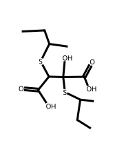 CCC(C)SC(C(=O)O)C(O)(SC(C)CC)C(=O)O